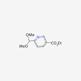 CCOC(=O)c1ccc(C(OC)OC)nc1